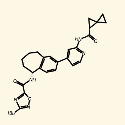 CC(C)(C)c1noc(C(=O)N[C@@H]2CCCCc3cc(-c4ccnc(NC(=O)[C@H]5CC56CC6)c4)ccc32)n1